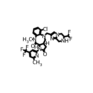 Cc1cc(C(F)(F)F)cc(N2C(=O)C[C@@H]3CN(Cc4cn5c(n4)CNC(C(F)F)C5)c4c(Cl)cccc4N(C)C(=O)[C@H]32)n1